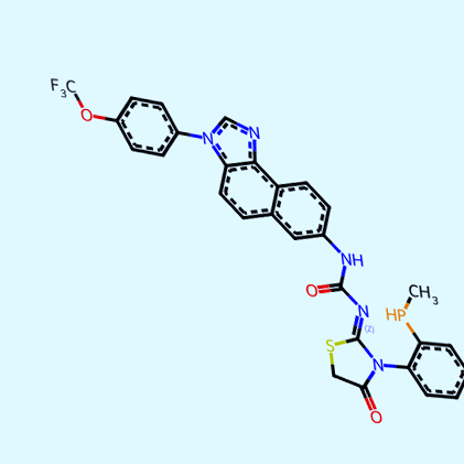 CPc1ccccc1N1C(=O)CS/C1=N\C(=O)Nc1ccc2c(ccc3c2ncn3-c2ccc(OC(F)(F)F)cc2)c1